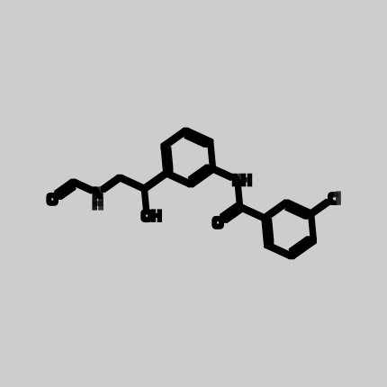 O=CNCC(O)c1cccc(NC(=O)c2cccc(Cl)c2)c1